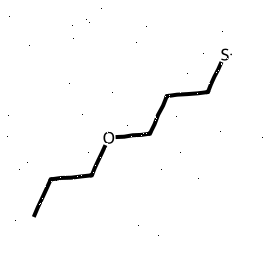 CCCOCCC[S]